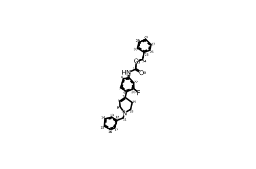 O=C(Nc1ccc(C2=CCN(Cc3ccccc3)CC2)c(F)c1)OCc1ccccc1